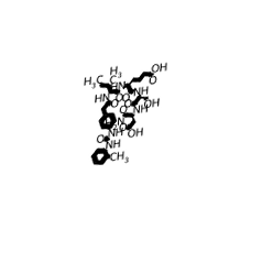 CCC(C)[C@H](NC(=O)Cc1ccc(NC(=O)Nc2ccccc2C)cc1)C(=O)N[C@@H](CCCC(=O)O)C(=O)N[C@@H](CO)C(=O)N[C@@H](CC(=O)O)C(N)=O